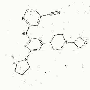 C[C@H]1CCCN1c1cc(C2CCN(C3COC3)CC2)cc(Nc2cc(C#N)ccn2)n1